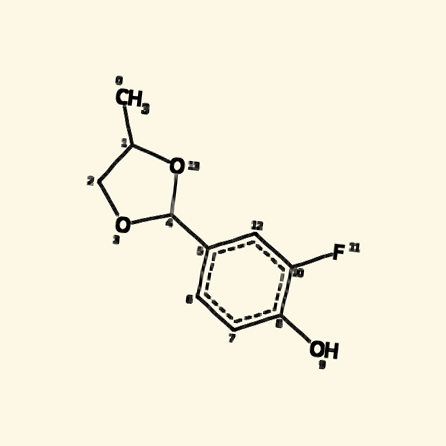 CC1COC(c2ccc(O)c(F)c2)O1